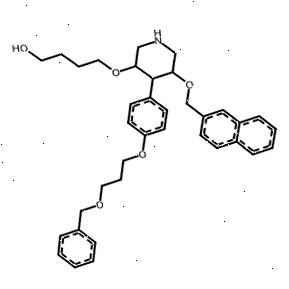 OCCCCOC1CNCC(OCc2ccc3ccccc3c2)C1c1ccc(OCCCOCc2ccccc2)cc1